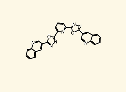 c1cc(-c2nnc(-c3cnc4ccccc4c3)o2)nc(-c2nnc(-c3cnc4ccccc4c3)o2)c1